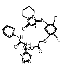 COC(=O)CSc1cc(/N=c2\sc(=O)n3n2CCCC3)c(F)cc1Cl.O=C(Nc1ccccc1)Nc1cnns1